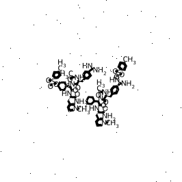 CC(=O)N[C@@H](Cc1ccc(C(=N)N)cc1)C(=O)N[C@H](C(=O)N[C@@H](Cc1ccc[n+](C)c1)C(N)=O)C1CCCCC1.CC(=O)N[C@@H](Cc1ccc(C(=N)N)cc1)C(=O)N[C@H](C(=O)N[C@@H](Cc1ccc[n+](C)c1)C(N)=O)C1CCCCC1.Cc1ccc(S(=O)(=O)[O-])cc1.Cc1ccc(S(=O)(=O)[O-])cc1